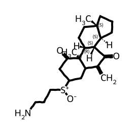 C=C1C(=O)[C@@H]2[C@@H](CC[C@]3(C)CCC[C@@H]23)[C@@]2(C)C(=O)CC([S+]([O-])CCCN)CC12